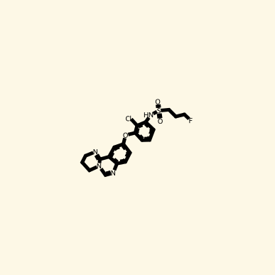 O=S(=O)(CCCF)Nc1cccc(Oc2ccc3c(c2)C2=NCCCN2C=N3)c1Cl